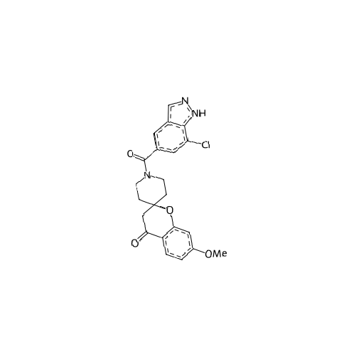 COc1ccc2c(c1)OC1(CCN(C(=O)c3cc(Cl)c4[nH]ncc4c3)CC1)CC2=O